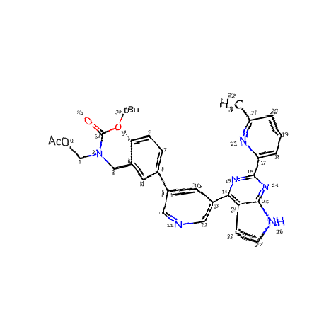 CC(=O)OCN(Cc1cccc(-c2cncc(-c3nc(-c4cccc(C)n4)nc4[nH]ccc34)c2)c1)C(=O)OC(C)(C)C